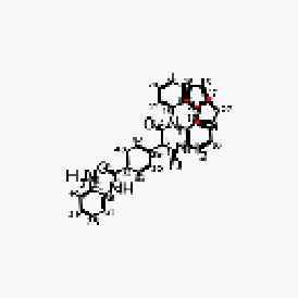 NC(=O)C(C(=O)N(c1ccccc1-n1cccc1)c1ccccc1-n1cccc1)c1ccc(C(=O)Nc2ccccc2N)cc1